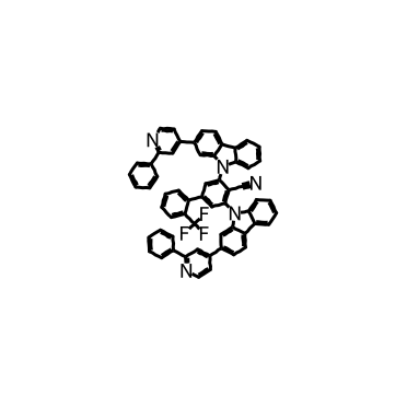 N#Cc1c(-n2c3ccccc3c3ccc(-c4ccnc(-c5ccccc5)c4)cc32)cc(-c2ccccc2C(F)(F)F)cc1-n1c2ccccc2c2ccc(-c3ccnc(-c4ccccc4)c3)cc21